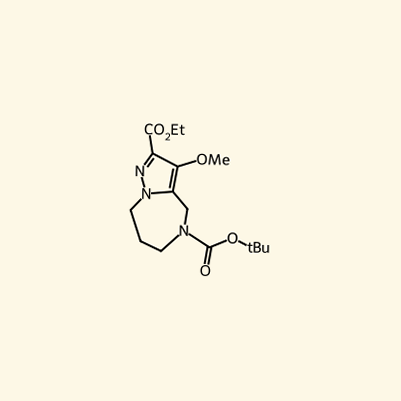 CCOC(=O)c1nn2c(c1OC)CN(C(=O)OC(C)(C)C)CCC2